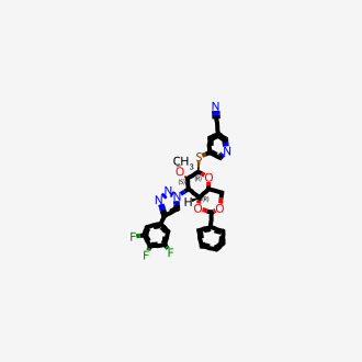 CO[C@H]1C(n2cc(-c3cc(F)c(F)c(F)c3)nn2)[C@H]2OC(c3ccccc3)OCC2O[C@@H]1Sc1cncc(C#N)c1